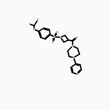 O=C(C1CN(S(=O)(=O)c2ccc(OC(F)F)cc2)C1)N1CCN(c2ccncc2)CC1